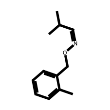 Cc1ccccc1CO/N=[C]\C(C)C